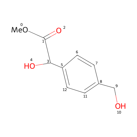 COC(=O)C(O)c1ccc(CO)cc1